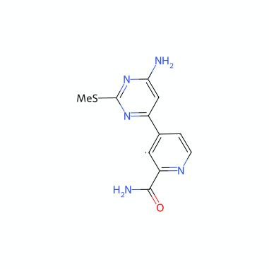 CSc1nc(N)cc(-c2[c]c(C(N)=O)ncc2)n1